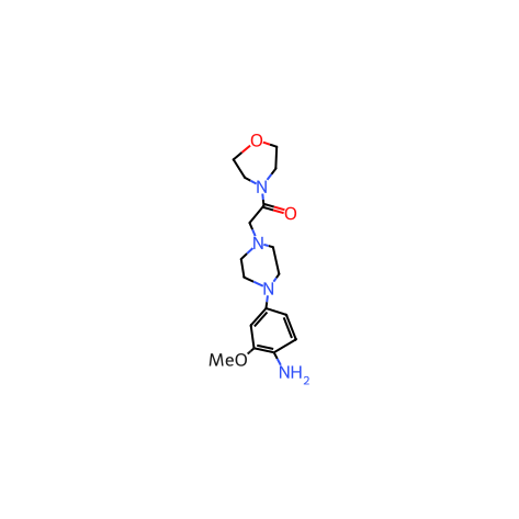 COc1cc(N2CCN(CC(=O)N3CCOCC3)CC2)ccc1N